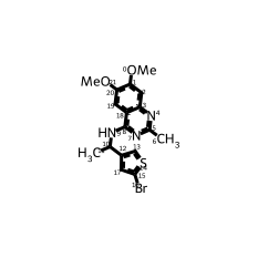 COc1cc2nc(C)nc(NC(C)c3csc(Br)c3)c2cc1OC